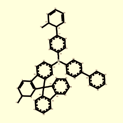 CC1C=CC2=C(C1)C1(c3cc(N(c4ccc(-c5ccccc5)cc4)c4ccc(C5C=CC=CC5C)cc4)ccc32)c2ccccc2-c2ccccc21